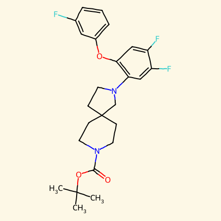 CC(C)(C)OC(=O)N1CCC2(CC1)CCN(c1cc(F)c(F)cc1Oc1cccc(F)c1)C2